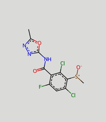 Cc1nnc(NC(=O)c2c(F)cc(Cl)c([S+](C)[O-])c2Cl)o1